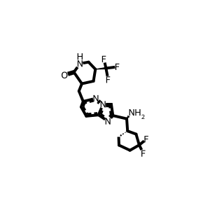 N[C@H](c1cn2nc(CC3C[C@H](C(F)(F)F)CNC3=O)ccc2n1)[C@H]1CCCC(F)(F)C1